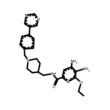 CCOc1nc(C(=O)NCC2CCN(Cc3ccc(-c4cncnc4)cc3)CC2)cc(N)c1N